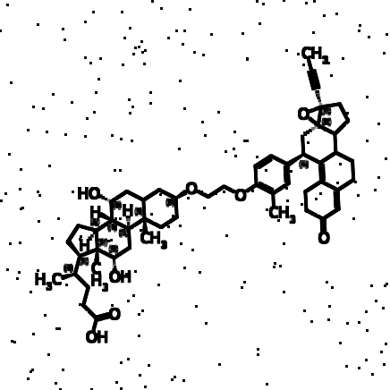 CC#C[C@]12CCC3C4CCC5=CC(=O)CCC5=C4[C@@H](c4ccc(OCCO[C@H]5CC[C@@]6(C)C(C5)C[C@@H](O)[C@H]5[C@@H]7CC[C@H]([C@H](C)CCC(=O)O)[C@@]7(C)[C@@H](O)C[C@@H]56)c(C)c4)C[C@@]31O2